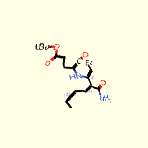 C\C=C/C=C(C(N)=O)\C(=C\CC)NC(=C=O)CCC(=O)OC(C)(C)C